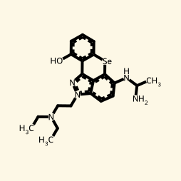 CCN(CC)CCn1nc2c3c(c(NC(C)N)ccc31)[Se]c1cccc(O)c1-2